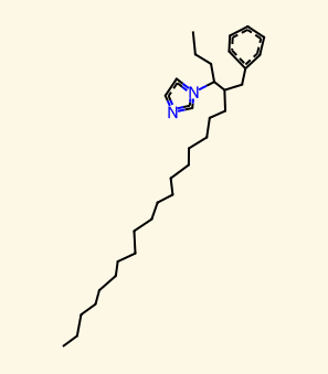 CCCCCCCCCCCCCCCCCCC(Cc1ccccc1)C(CCC)n1ccnc1